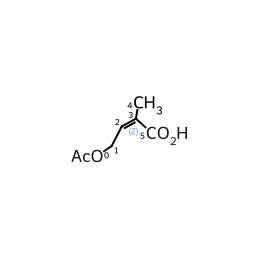 CC(=O)OC/C=C(/C)C(=O)O